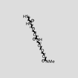 CNC(=O)COCCOCCOCCNC(=O)COCCOCCNC(=O)CCS